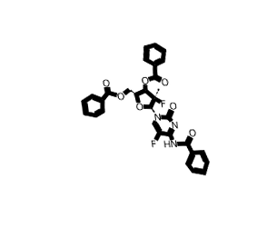 C[C@@]1(F)C(OC(=O)c2ccccc2)[C@@H](COC(=O)c2ccccc2)O[C@H]1n1cc(F)c(NC(=O)c2ccccc2)nc1=O